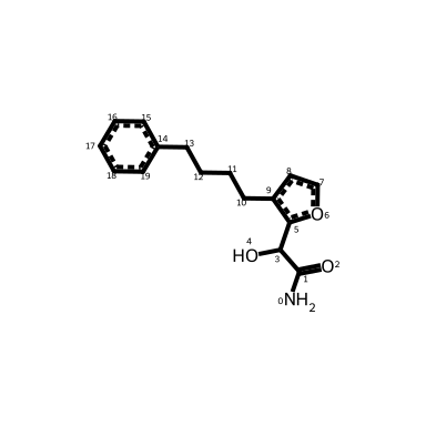 NC(=O)C(O)c1occc1CCCCc1ccccc1